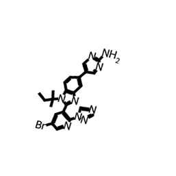 CCC(C)(C)n1c(-c2cc(Br)cnc2-n2cncn2)nc2cc(-c3cnc(N)nc3)ccc21